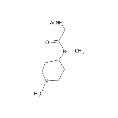 CC(=O)NCC(=O)N(C)C1CCN(C)CC1